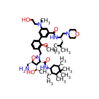 COc1c(CN2O[C@@H](CN)[C@@H]([C@H](C)O)[C@H]2C(=O)N[C@H]2C[C@@H](C)C(C)(C)[C@@H](C)[C@@H]2C)cccc1-c1cc(C(=O)N[C@@H](CC(C)C)CN2CCOCC2)cc(N(C)CCO)c1